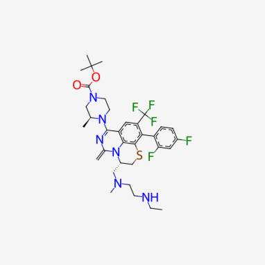 C=C1N=C(N2CCN(C(=O)OC(C)(C)C)C[C@@H]2C)c2cc(C(F)(F)F)c(-c3ccc(F)cc3F)c3c2N1[C@@H](CN(C)CCNCC)CS3